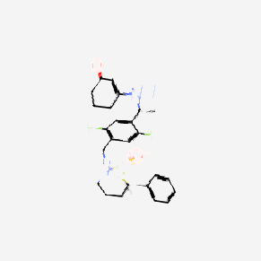 C[C@H](NC1=CC(=O)CCC1)c1cc(F)c(CN2CCC[C@H](c3ccccc3)[S+]2[O-])cc1F